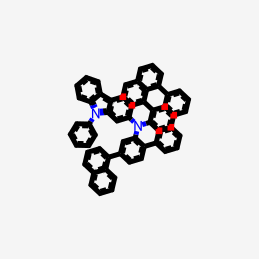 c1ccc(-c2ccc(-c3cccc4ccccc34)cc2N(c2ccc3c4ccccc4n(-c4ccccc4)c3c2)c2ccccc2-c2cccc3cccc(-c4ccccc4)c23)cc1